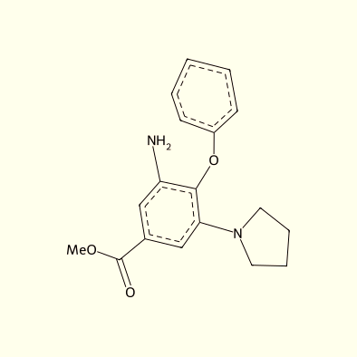 COC(=O)c1cc(N)c(Oc2ccccc2)c(N2CCCC2)c1